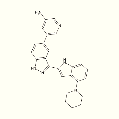 Nc1cncc(-c2ccc3[nH]nc(-c4cc5c(N6CCCCC6)cccc5[nH]4)c3c2)c1